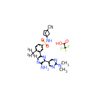 O=C(O)C(F)(F)F.[2H]C([2H])([2H])c1ccc(S(=O)(=O)NC23CCC(C#N)(C2)C3)cc1-c1cnc(N)c(-c2cnc(N(C)C)nc2)n1